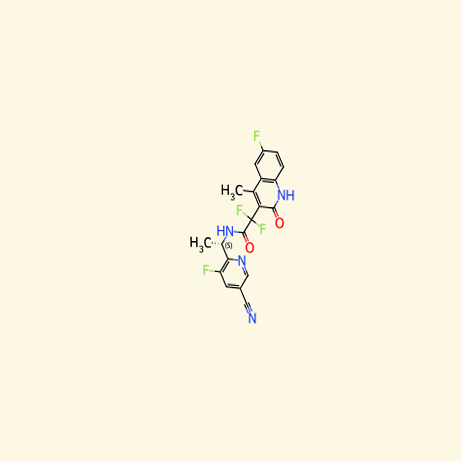 Cc1c(C(F)(F)C(=O)N[C@@H](C)c2ncc(C#N)cc2F)c(=O)[nH]c2ccc(F)cc12